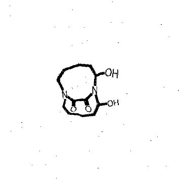 O=C1C(=O)N2C(O)CCCCN1CCCCC2O